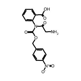 NCC(=O)N(C(=O)OCc1ccc([N+](=O)[O-])cc1)c1ccccc1C(=O)O